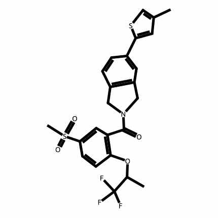 Cc1csc(-c2ccc3c(c2)CN(C(=O)c2cc(S(C)(=O)=O)ccc2OC(C)C(F)(F)F)C3)c1